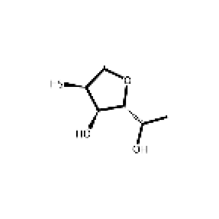 CC(O)[C@H]1O[CH][C@H](S)[C@@H]1O